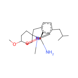 COC1CCC2(CC1)Cc1ccc(CC(C)C)cc1[C@@]21N=C(N)N(C)C1=O